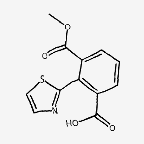 COC(=O)c1cccc(C(=O)O)c1-c1nccs1